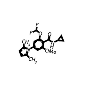 COc1cc(-n2c(C)ccc2C)cc(OC(F)F)c1C(=O)NC1CC1